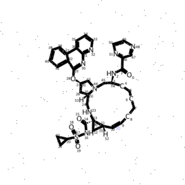 O=C(N[C@H]1CCCCC/C=C\[C@@H]2C[C@@]2(C(=O)NS(=O)(=O)C2CC2)NC[C@@H]2C[C@@H](Oc3nc4ncccc4c4ccccc34)CN2C1)c1cnccn1